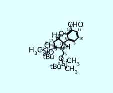 CC(C)(C)[Si](C)(C)OC[C@@H]1[C@H]2c3cccc(C=O)c3O[C@H]2C[C@H]1O[Si](C)(C)C(C)(C)C